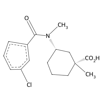 CN(C(=O)c1cccc(Cl)c1)[C@H]1CCC[C@@](C)(C(=O)O)C1